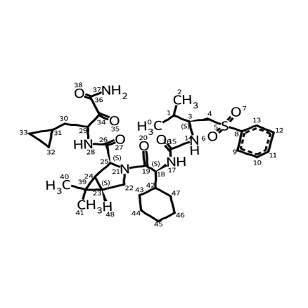 CC(C)[C@@H](CS(=O)(=O)c1ccccc1)NC(=O)N[C@H](C(=O)N1C[C@H]2C([C@H]1C(=O)NC(CC1CC1)C(=O)C(N)=O)C2(C)C)C1CCCCC1